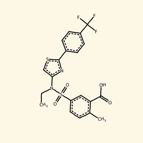 CCN(c1csc(-c2ccc(C(F)(F)F)cc2)n1)S(=O)(=O)c1ccc(C)c(C(=O)O)c1